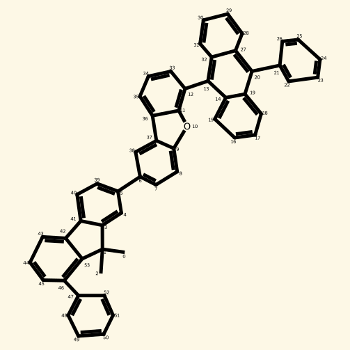 CC1(C)c2cc(-c3ccc4oc5c(-c6c7ccccc7c(-c7ccccc7)c7ccccc67)cccc5c4c3)ccc2-c2cccc(-c3ccccc3)c21